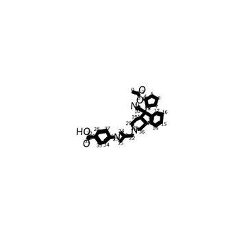 CC(=O)O[C@H]1CCC[C@@H]1C(C#N)(c1ccccc1)C1CCN(CC2CN(c3ccc(C(=O)O)cc3)C2)CC1